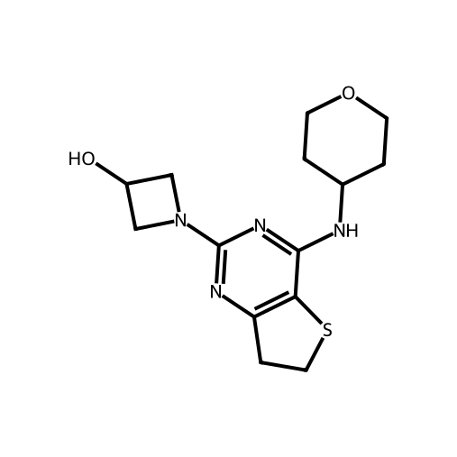 OC1CN(c2nc3c(c(NC4CCOCC4)n2)SCC3)C1